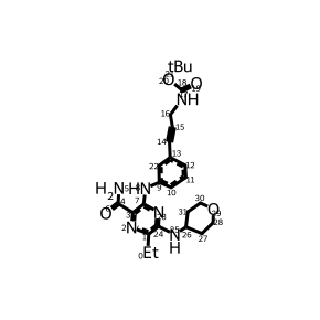 CCc1nc(C(N)=O)c(Nc2cccc(C#CCNC(=O)OC(C)(C)C)c2)nc1NC1CCOCC1